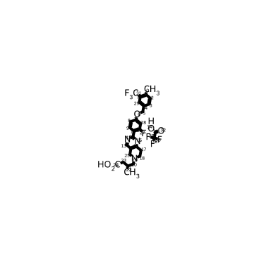 Cc1ccc(COc2ccc(-c3ncc4c(n3)CCN(CC(C)CC(=O)O)C4)c(F)c2)cc1C(F)(F)F.O=C(O)C(F)(F)F